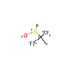 C[S+]([O-])C(C)(C(F)(F)F)C(F)(F)F